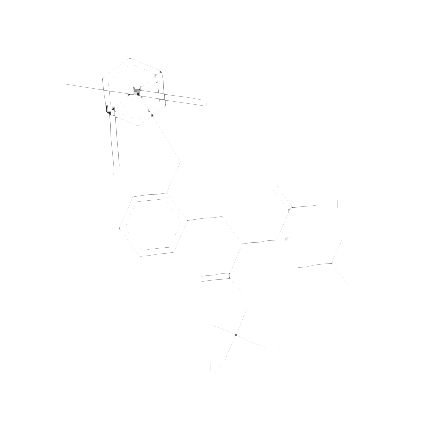 CC(C)C[C@@H](C(=O)O)C(Cc1ccccc1Cn1c(=O)c2ccc(cc2)c1=O)C(=O)OC(C)(C)C